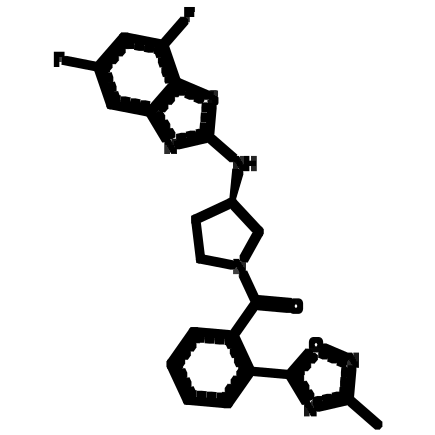 Cc1noc(-c2ccccc2C(=O)N2CC[C@@H](Nc3nc4cc(F)cc(F)c4s3)C2)n1